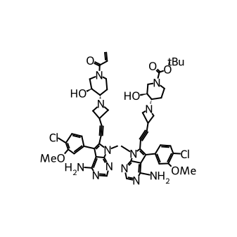 C=CC(=O)N1CC[C@H](N2CC(C#Cc3c(-c4ccc(Cl)c(OC)c4)c4c(N)ncnc4n3C)C2)[C@@H](O)C1.COc1cc(-c2c(C#CC3CN([C@H]4CCN(C(=O)OC(C)(C)C)C[C@@H]4O)C3)n(C)c3ncnc(N)c23)ccc1Cl